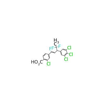 CC(F)(F)C(/C=C(\F)c1ccc(C(=O)O)c(Cl)c1)c1cc(Cl)c(Cl)c(Cl)c1